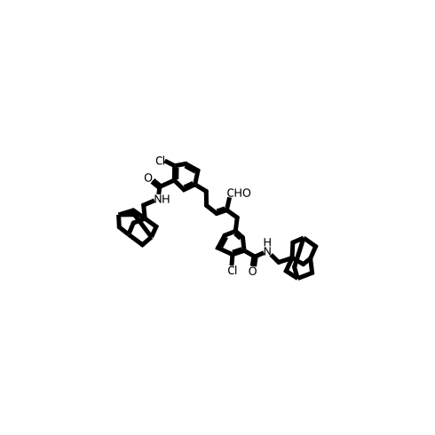 O=C/C(=C\CCc1ccc(Cl)c(C(=O)NCC23CC4CC(CC(C4)C2)C3)c1)Cc1ccc(Cl)c(C(=O)NCC23CC4CC(CC(C4)C2)C3)c1